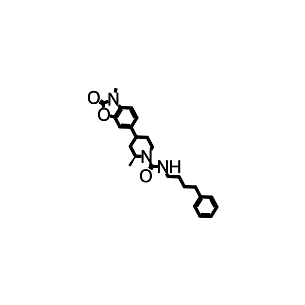 C[C@H]1CC(c2ccc3c(c2)oc(=O)n3C)CCN1C(=O)NCCCCc1ccccc1